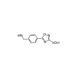 CCCCCCCCc1noc(-c2ccc(C[NH])cc2)n1